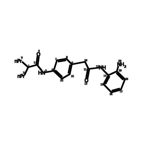 CCCC(CCC)C(=O)Nc1ccc(CC(=O)Nc2ccccc2N)cc1